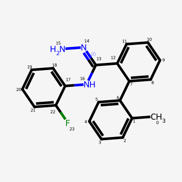 Cc1ccccc1-c1ccccc1/C(=N/N)Nc1ccccc1F